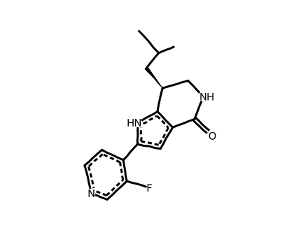 CC(C)C[C@H]1CNC(=O)c2cc(-c3ccncc3F)[nH]c21